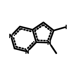 Cn1c(I)cc2cncnc21